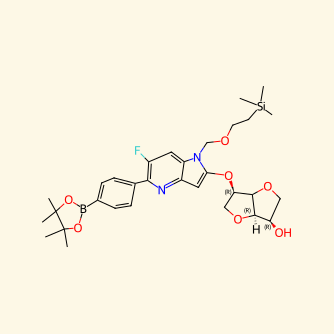 CC1(C)OB(c2ccc(-c3nc4cc(O[C@@H]5CO[C@H]6C5OC[C@H]6O)n(COCC[Si](C)(C)C)c4cc3F)cc2)OC1(C)C